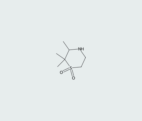 CC1NCCS(=O)(=O)C1(C)C